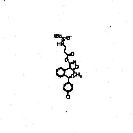 Cc1onc(OC(=O)CCN[S@+]([O-])C(C)(C)C)c1-c1ccccc1C(=O)c1ccc(Cl)cc1